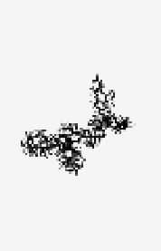 CC1(C)c2ccccc2-c2ccc(N(c3ccc([Si](C)(C)C)cc3)c3ccc4c(c3)Oc3cccc5c3c-4cc3c4ccccc4c(N(c4ccc([Si](C)(C)C)cc4)c4ccc6c(c4)C(C)(C)c4ccccc4-6)cc53)cc21